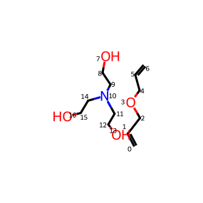 C=CCOCC=C.OCCN(CCO)CCO